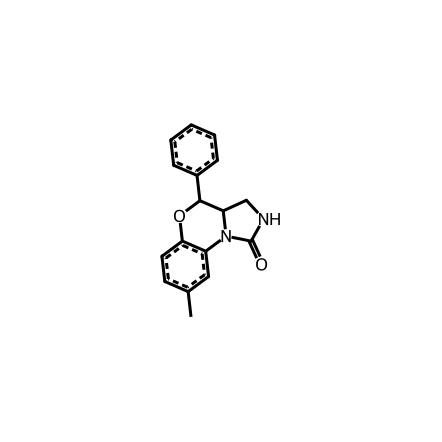 Cc1ccc2c(c1)N1C(=O)NCC1C(c1ccccc1)O2